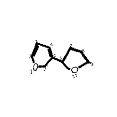 [CH]1OC=CC=C1C1CCCO1